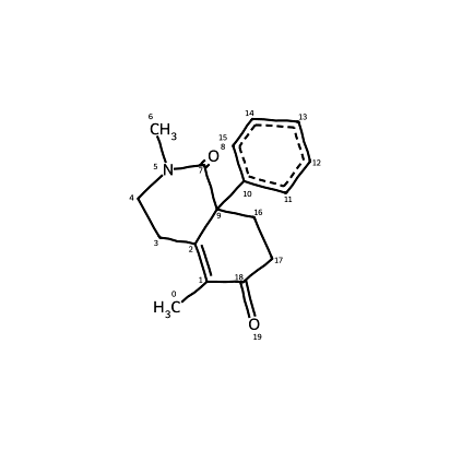 CC1=C2CCN(C)C(=O)C2(c2ccccc2)CCC1=O